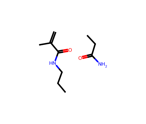 C=C(C)C(=O)NCCC.CCC(N)=O